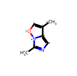 Cc1con2c(C)ncc12